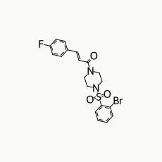 O=C(C=Cc1ccc(F)cc1)N1CCN(S(=O)(=O)c2ccccc2Br)CC1